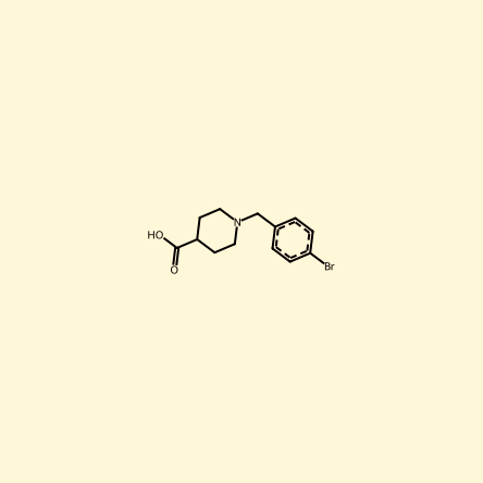 O=C(O)C1CCN(Cc2ccc(Br)cc2)CC1